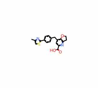 Cc1csc(-c2ccc(Cc3cc(C(=O)O)nc4c3OCC4)cc2)n1